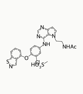 CC(=O)NCCn1ccc2ncnc(Nc3ccc(Oc4cccc5sncc45)c(Cl)c3)c21.CS(=O)(=O)O